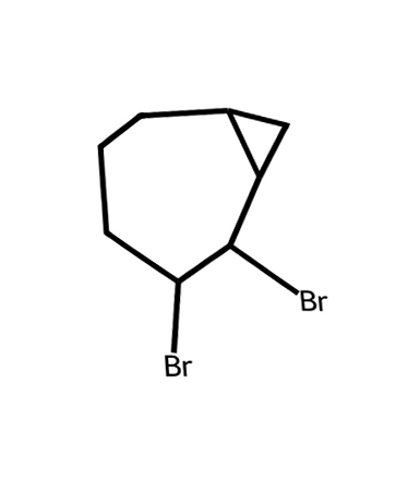 BrC1CCCC2CC2C1Br